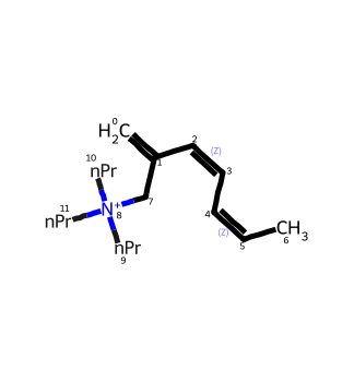 C=C(/C=C\C=C/C)C[N+](CCC)(CCC)CCC